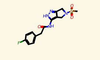 CS(=O)(=O)N1Cc2n[nH]c(NC(=O)Cc3ccc(F)cc3)c2C1